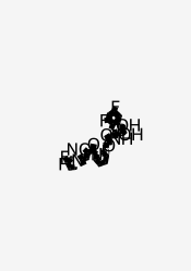 CC(C)(C=C(C#N)C(=O)N1CCCC[C@@H]1COC(=O)N[C@@H](Cc1ccc(F)cc1F)B(O)O)N1CCC(F)(F)C1